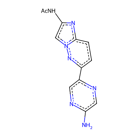 CC(=O)Nc1cn2nc(-c3cnc(N)cn3)ccc2n1